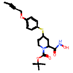 CC#CCOc1ccc(SC2CCN(C(=O)OC(C)(C)C)C(C(=O)NO)C2)cc1